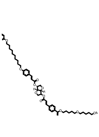 C=CC(=O)OCCCCCCCCCCOc1ccc(/C=C/C(=O)O[C@@H]2CO[C@@H]3C(OC(=O)/C=C/c4ccc(C(=C)OCCCCCOCCCCCOC)cc4)CO[C@@H]32)cc1